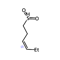 CC/C=C\CC[SH](=O)=O